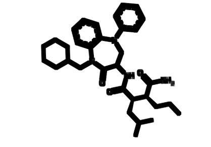 CCC[C@H](C(N)=O)[C@@H](CC(C)C)C(=O)NC1CN(c2ccccc2)c2ccccc2N(CC2CCCCC2)C1=O